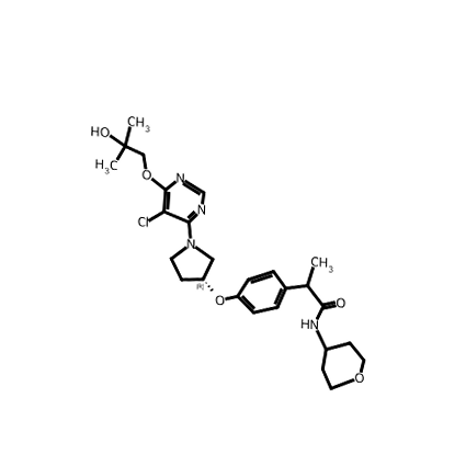 CC(C(=O)NC1CCOCC1)c1ccc(O[C@@H]2CCN(c3ncnc(OCC(C)(C)O)c3Cl)C2)cc1